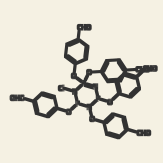 O=Cc1ccc(ON2P(Oc3ccc(C=O)cc3)N=P(Oc3ccc(C=O)cc3)(Oc3ccc(C=O)cc3)N(Cl)P2Oc2ccc(C=O)cc2)cc1